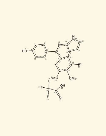 COc1cc2c(-c3ccc(O)cc3)nc3[nH]ncc3c2c(C(C)C)c1OC.O=C(O)C(F)(F)F